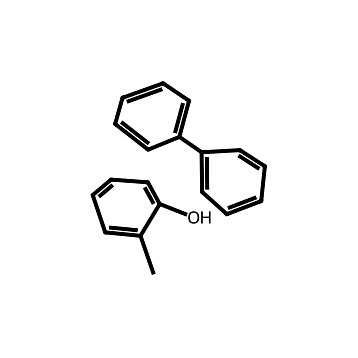 Cc1ccccc1O.c1ccc(-c2ccccc2)cc1